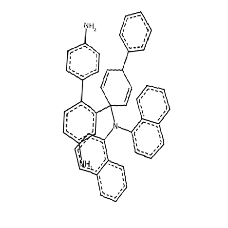 Nc1ccc(-c2ccc(N)cc2C2(N(c3cccc4ccccc34)c3cccc4ccccc34)C=CC(c3ccccc3)C=C2)cc1